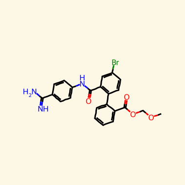 COCOC(=O)c1ccccc1-c1ccc(Br)cc1C(=O)Nc1ccc(C(=N)N)cc1